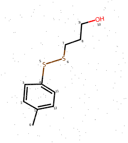 Cc1ccc(SSCCCO)cc1